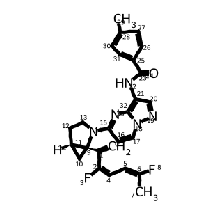 C=C(/C(F)=C\C=C(/C)F)[C@@]12C[C@@H]1CCN2c1ccn2ncc(NC(=O)c3ccc(C)cc3)c2n1